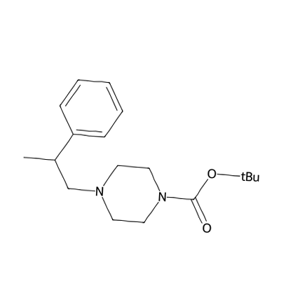 CC(CN1CCN(C(=O)OC(C)(C)C)CC1)c1ccccc1